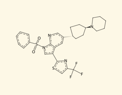 O=S(=O)(c1ccccc1)n1cc(-c2nc(C(F)(F)F)cs2)c2cc([C@H]3CC[C@H](N4CCCCC4)CC3)cnc21